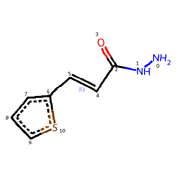 NNC(=O)/C=C/c1cccs1